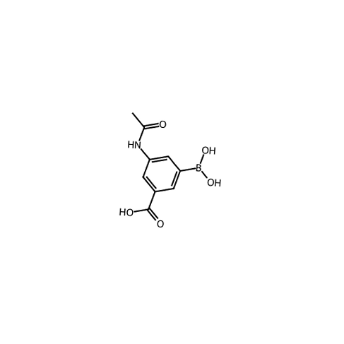 CC(=O)Nc1cc(B(O)O)cc(C(=O)O)c1